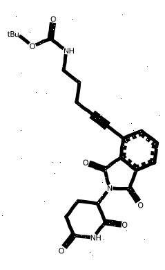 CC(C)(C)OC(=O)NCCCC#Cc1cccc2c1C(=O)N(C1CCC(=O)NC1=O)C2=O